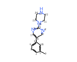 Cc1cccc(-c2cnc(N3CCNCC3)nc2)c1